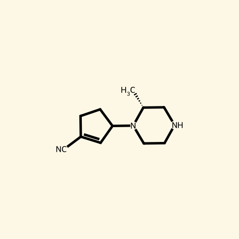 C[C@@H]1CNCCN1C1C=C(C#N)CC1